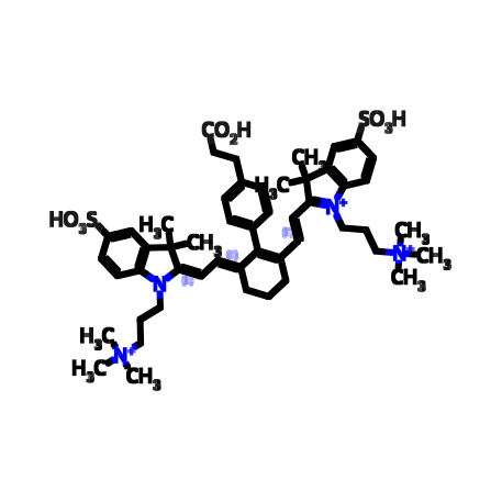 CC1(C)C(/C=C/C2=C(c3ccc(CCC(=O)O)cc3)C(=C/C=C3/N(CCC[N+](C)(C)C)c4ccc(S(=O)(=O)O)cc4C3(C)C)/CCC2)=[N+](CCC[N+](C)(C)C)c2ccc(S(=O)(=O)O)cc21